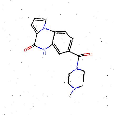 CN1CCN(C(=O)c2ccc3c(c2)[nH]c(=O)c2cccn23)CC1